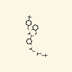 C[C@H](NC(=O)CCC(F)(F)F)C(=O)Nc1cccc(C2N=Cc3ccccc3N(Cc3ccc(C(C)(C)C)cc3)C2=O)c1